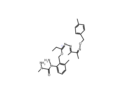 CC/C(=N/N=C(C)C(C)=NOCc1ccc(C)cc1)OCc1c(C)cccc1N(N)C(=O)N(C)N